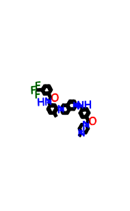 Cc1ccc(NC(=O)c2cccc(C(F)(F)F)c2)cc1N1CCC2=C(C=CN(Nc3ccc(C(=O)N4CCN(C)CC4)cc3)C2)C1